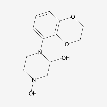 OC1CN(O)CCN1c1cccc2c1OCCO2